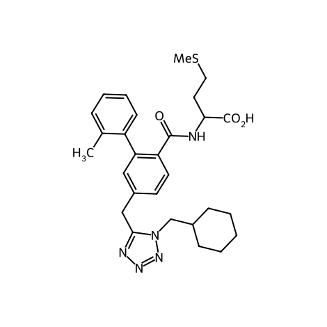 CSCCC(NC(=O)c1ccc(Cc2nnnn2CC2CCCCC2)cc1-c1ccccc1C)C(=O)O